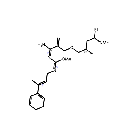 C=C(COC[C@H](C)CC(CC)NC)/C(N)=N\C(=N/C/C=C(\C)C1=CCCC=C1)OC